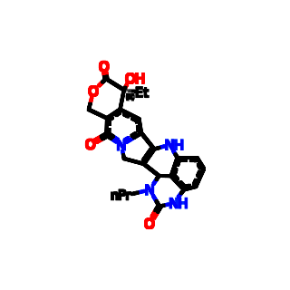 CCCN1C(=O)Nc2cccc3c2C1C1=C(N3)c2cc3c(c(=O)n2C1)COC(=O)[C@]3(O)CC